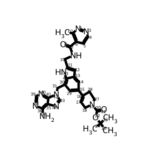 Cc1nnccc1C(=O)NCc1cc2cc(C3=CCN(C(=O)OC(C)(C)C)CC3)cc(Cn3cnc4c(N)ncnc43)c2[nH]1